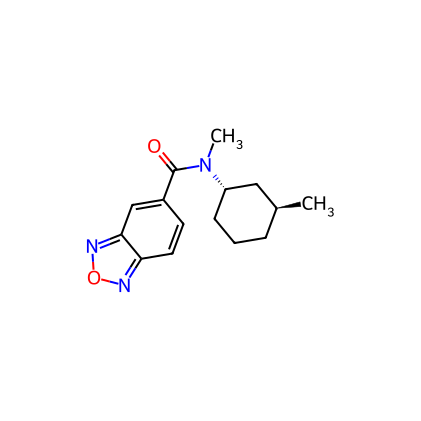 C[C@H]1CCC[C@H](N(C)C(=O)c2ccc3nonc3c2)C1